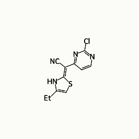 CCC1=CSC(=C(C#N)c2ccnc(Cl)n2)N1